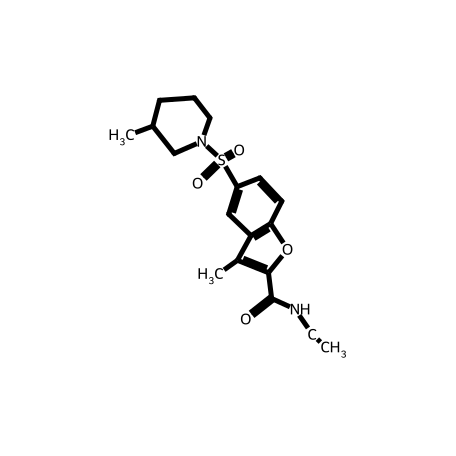 CCNC(=O)c1oc2ccc(S(=O)(=O)N3CCCC(C)C3)cc2c1C